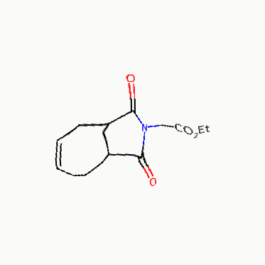 CCOC(=O)N1C(=O)C2CC=CCC2C1=O